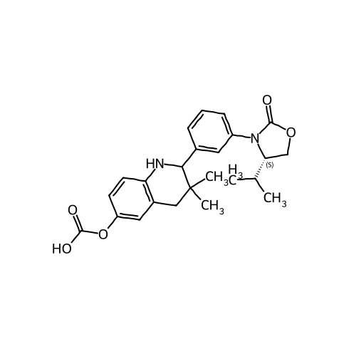 CC(C)[C@H]1COC(=O)N1c1cccc(C2Nc3ccc(OC(=O)O)cc3CC2(C)C)c1